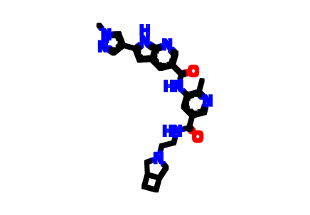 Cc1ncc(C(=O)NCCN2CC3CCC3C2)cc1NC(=O)c1cnc2[nH]c(-c3cnn(C)c3)cc2c1